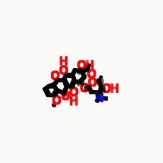 COc1cccc2c1C(=O)c1c(O)c3c(c(O)c1C2=O)C[C@@](O)(C(C)=O)C[C@@H]3O[C@H]1C[C@H](N(C)C)[C@H](O)[C@H](C)O1